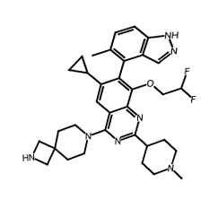 Cc1ccc2[nH]ncc2c1-c1c(C2CC2)cc2c(N3CCC4(CC3)CNC4)nc(C3CCN(C)CC3)nc2c1OCC(F)F